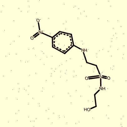 O=[N+]([O-])c1ccc(NCCS(=O)(=O)NCCO)cc1